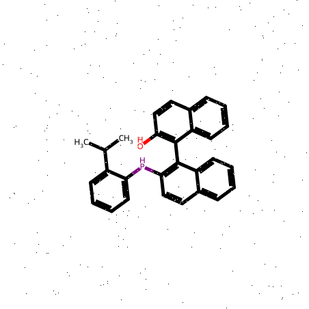 CC(C)c1ccccc1Pc1ccc2ccccc2c1-c1c(O)ccc2ccccc12